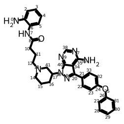 Nc1ccccc1NC(=O)CCCN1CCCC(n2nc(-c3ccc(Oc4ccccc4)cc3)c3c(N)ncnc32)C1